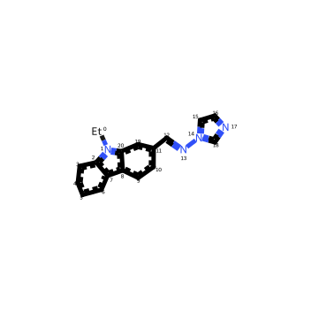 CCn1c2ccccc2c2ccc(/C=N/n3ccnc3)cc21